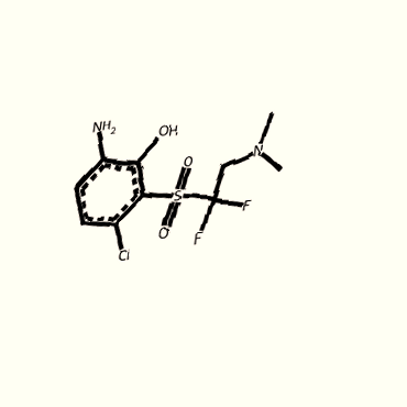 CN(C)CC(F)(F)S(=O)(=O)c1c(Cl)ccc(N)c1O